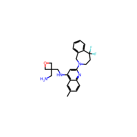 Cc1ccc2nc(N3CCC(F)(F)c4ccccc4C3)cc(NCC3(CN)COC3)c2c1